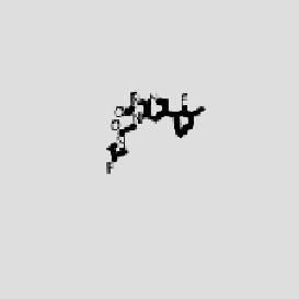 Cc1cccc(-c2cnc3c(c2)n(CC(=O)N2CC(F)C2)c(=O)n3C)c1F